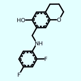 Oc1cc2c(cc1CNc1ccc(F)cc1F)OCCC2